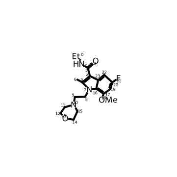 CCNC(=O)c1c(C)n(CCN2CCOCC2)c2c(OC)cc(F)cc12